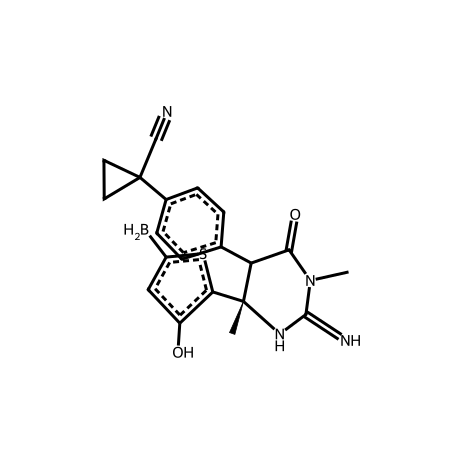 Bc1cc(O)c([C@@]2(C)NC(=N)N(C)C(=O)C2c2ccc(C3(C#N)CC3)cc2)s1